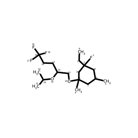 CCC1(F)CC(C)CC(C)(OCC(CCC(F)(F)F)OC(C)C)C1